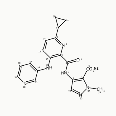 CCOC(=O)c1c(NC(=O)c2nc(C3CC3)cnc2Nc2cncnc2)cnn1C